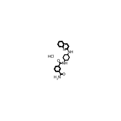 Cl.NC(=O)c1cccc(C(=O)NC2CCC(Nc3ccc4ccccc4n3)CC2)c1